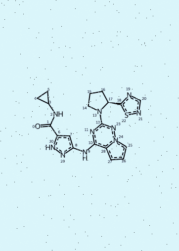 O=C(NC1CC1)c1cc(Nc2nc(N3CCC[C@H]3c3ncns3)nn3cccc23)n[nH]1